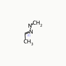 C=N/N=C/C